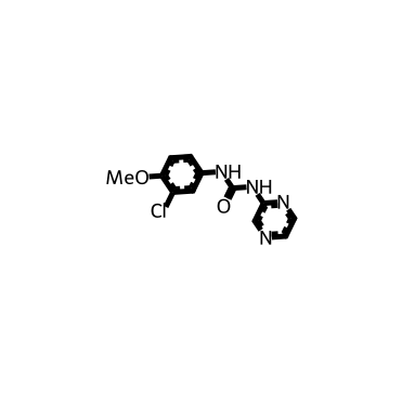 COc1ccc(NC(=O)Nc2cnccn2)cc1Cl